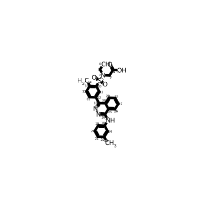 CCN(CC(=O)O)S(=O)(=O)c1cc(-c2nnc(Nc3cccc(C)c3)c3ccccc23)ccc1C